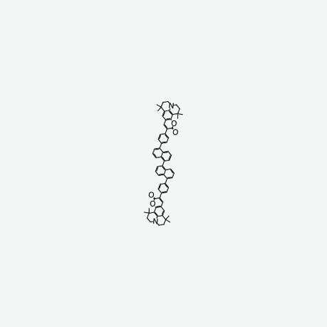 CC1(C)CCN2CCC(C)(C)c3c2c1cc1cc(-c2ccc(-c4cccc5c(-c6cccc7c(-c8ccc(-c9cc%10cc%11c%12c(c%10oc9=O)C(C)(C)CCN%12CCC%11(C)C)cc8)cccc67)cccc45)cc2)c(=O)oc31